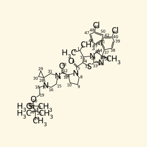 CC(C)C1=C(C(=O)N2CCC[C@H]2C(=O)N2CCN(CCO[Si](C)(C)C(C)(C)C)C3(CC3)C2)SC2=N[C@@](C)(c3ccc(Cl)cc3)[C@@H](c3ccc(Cl)cc3)N21